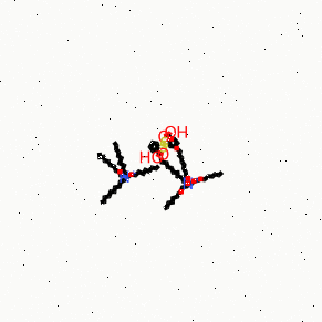 CCCCCCCCCC[N+](CCCCCCCCCC)(CCCCCCCCCC)CCCCCCCCCC.CCCCCCCCCC[N+](CCCCCCCCCC)(CCCCCCCCCC)CCCCCCCCCC.O=C(O)c1ccccc1SSc1ccccc1C(=O)O